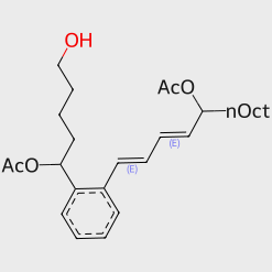 CCCCCCCCC(/C=C/C=C/c1ccccc1C(CCCCO)OC(C)=O)OC(C)=O